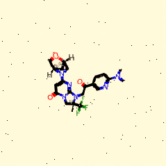 CN(C)c1ccc(C(=O)CN2c3nc(N4C[C@@H]5C[C@H]4CO5)cc(=O)n3C[C@@]2(C)C(F)(F)F)cn1